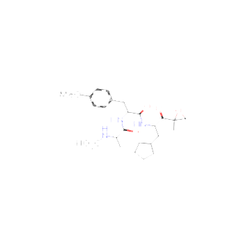 COc1ccc(CC(NC(=O)C(C)NC(=O)O)C(=O)NC(CC2CCCC2)C(=O)C2(C)CO2)cc1